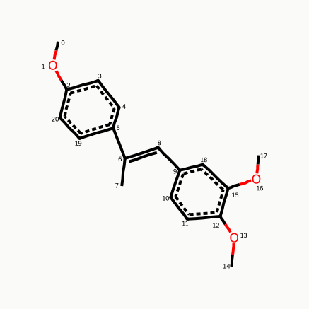 COc1ccc(C(C)=Cc2ccc(OC)c(OC)c2)cc1